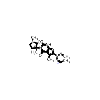 C=NN(/N=C\C)c1sc2[nH]c(=O)n([C@]3(C)CCN(C)C3=O)c(=O)c2c1C